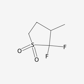 CC1CCS(=O)(=O)C1(F)F